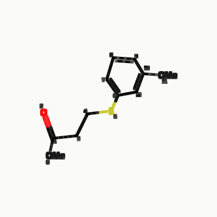 COC(=O)CCSc1cccc(OC)c1